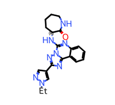 CCn1cc(-c2nc3c4ccccc4nc(N[C@@H]4CCCCNC4=O)n3n2)cn1